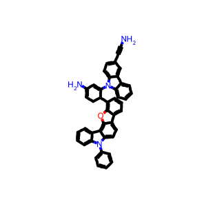 NC#Cc1ccc2c(c1)c1ccccc1n2C1=CC(N)=CCC1c1cccc2c1oc1c2ccc2c1c1ccccc1n2-c1ccccc1